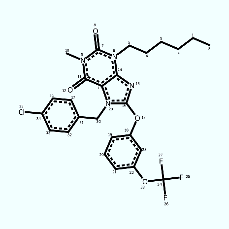 CCCCCCn1c(=O)n(C)c(=O)c2c1nc(Oc1cccc(OC(F)(F)F)c1)n2Cc1ccc(Cl)cc1